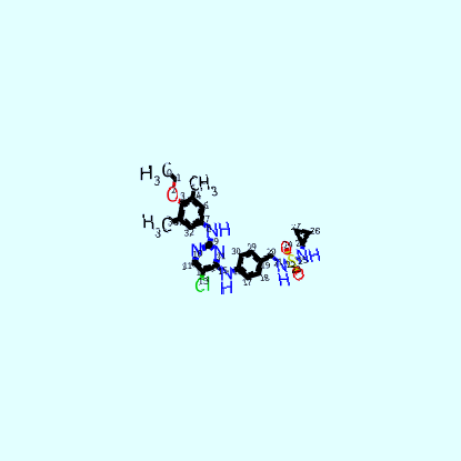 CCOc1c(C)cc(Nc2ncc(Cl)c(Nc3ccc(CNS(=O)(=O)NC4CC4)cc3)n2)cc1C